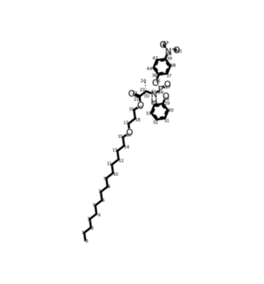 CCCCCCCCCCCCCCCCOCCCOC(=O)[C@H](C)NP(=O)(Oc1ccccc1)Oc1ccc([N+](=O)[O-])cc1